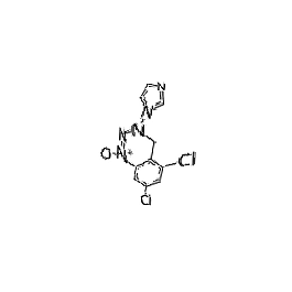 [O-][N+]1=NN(n2ccnc2)Cc2c(Cl)cc(Cl)cc21